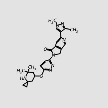 Cc1nn(C)cc1-c1cc2c(cn1)CN(c1ccc(OC3CC(C)(C)NC4(CC4)C3)nn1)C2=O